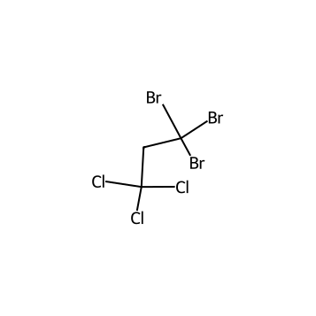 ClC(Cl)(Cl)CC(Br)(Br)Br